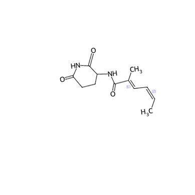 C/C=C\C=C(/C)C(=O)NC1CCC(=O)NC1=O